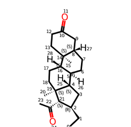 CC[C@@H]1C[C@H]2[C@@H]3CC[C@H]4CC(=O)CC[C@]4(C)[C@H]3CC[C@]2(C)[C@H]1C(C)=O